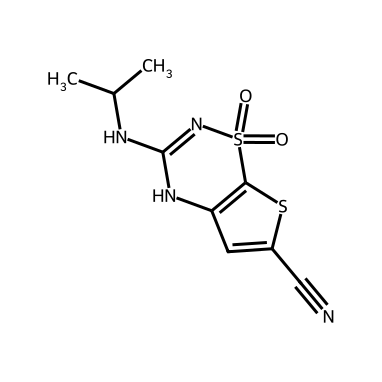 CC(C)NC1=NS(=O)(=O)c2sc(C#N)cc2N1